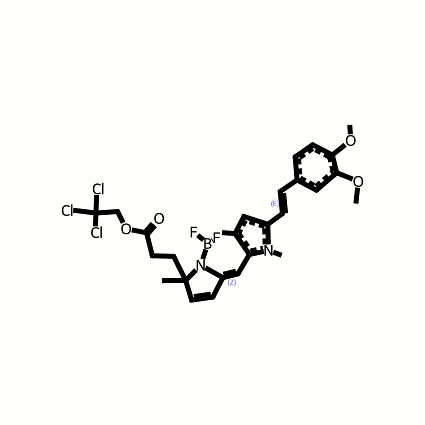 COc1ccc(/C=C/c2cc(C)c(/C=C3/C=CC(C)(CCC(=O)OCC(Cl)(Cl)Cl)N3B(F)F)n2C)cc1OC